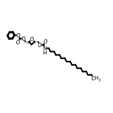 CCCCCCCCCCCCCCCCCCNC(=O)OC[C@@H]1C[C@H](COC(=O)Oc2ccccc2)O1